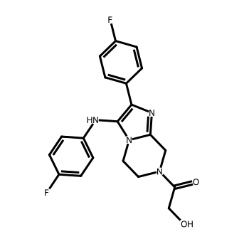 O=C(CO)N1CCn2c(nc(-c3ccc(F)cc3)c2Nc2ccc(F)cc2)C1